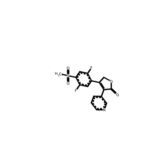 CS(=O)(=O)c1cc(F)c(C2=C(c3cccnc3)C(=O)OC2)cc1F